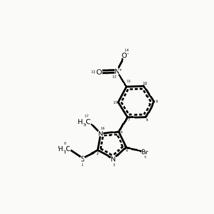 CSc1nc(Br)c(-c2cccc([N+](=O)[O-])c2)n1C